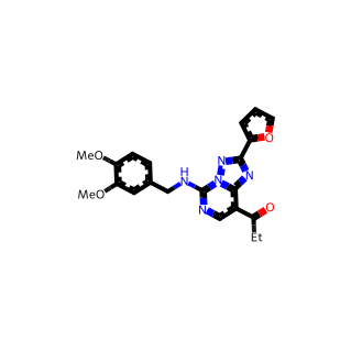 CCC(=O)c1cnc(NCc2ccc(OC)c(OC)c2)n2nc(-c3ccco3)nc12